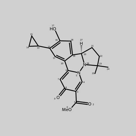 COC(=O)c1cn2c(cc1=O)-c1cc(C3CC3)c(O)cc1[C@H]1CCC(C)(C)N12